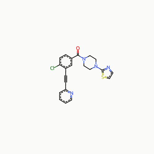 O=C(c1ccc(Cl)c(C#Cc2ccccn2)c1)N1CCN(c2nccs2)CC1